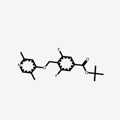 Cc1cc(OCc2c(F)cc(C(=O)OC(C)(C)C)cc2F)c(C)cn1